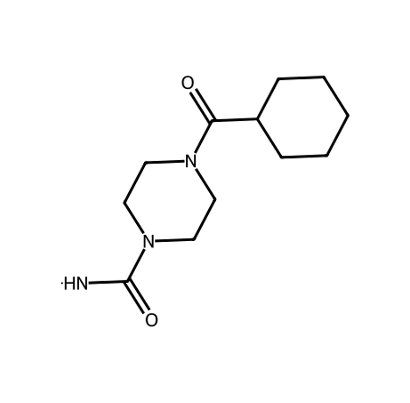 [NH]C(=O)N1CCN(C(=O)C2CCCCC2)CC1